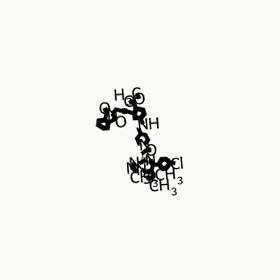 COC(=O)c1ccc(NCC2CCN(C(=O)C[C@@H]3N=C(c4ccc(Cl)cc4)c4c(sc(C)c4C)-n4c(C)nnc43)CC2)cc1C#CCN1C(=O)c2ccccc2C1=O